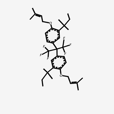 CCC(C)(C)c1cc(C(c2ccc(OCC=C(C)C)c(C(C)(C)CC)c2)(C(F)(F)F)C(F)(F)F)ccc1OCC=C(C)C